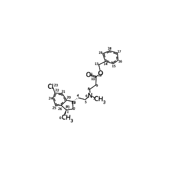 C[C@@H]1C[C@@H](CCN(C)CCC(=O)OCc2ccccc2)c2cc(Cl)ccc21